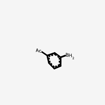 Bc1cccc(C(C)=O)c1